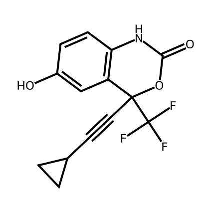 O=C1Nc2ccc(O)cc2C(C#CC2CC2)(C(F)(F)F)O1